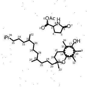 CC(=O)OC(=O)C1CCC(=O)N1.Cc1c(C)c2c(c(C)c1O)CC[C@@](C)(CCCC(C)CCCC(C)CCCC(C)C)O2